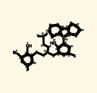 Cc1cc(Br)c(O)c(CCN(CCN(C)C)Cc2cc(C)cc(-n3c4ccccc4c4ccccc43)c2O)c1